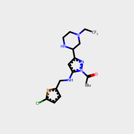 CC(C)(C)C(=O)n1nc(C2CN(CC(F)(F)F)CCN2)cc1NCc1ccc(Cl)s1